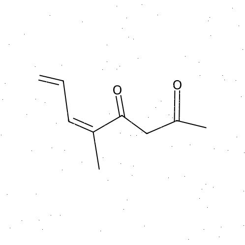 C=CC=C(C)C(=O)CC(C)=O